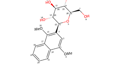 COc1cc([C@@H]2O[C@H](CO)[C@@H](O)[C@H](O)[C@H]2O)c(OC)c2ccccc12